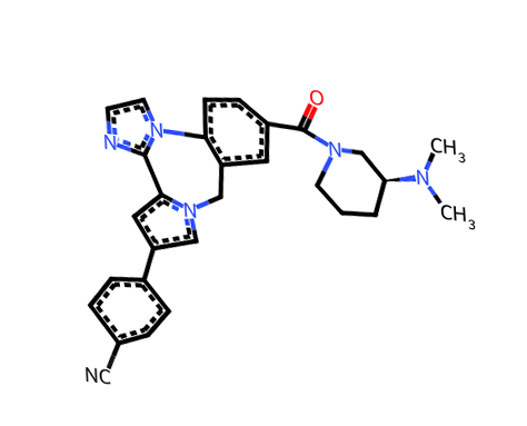 CN(C)[C@H]1CCCN(C(=O)c2ccc3c(c2)Cn2cc(-c4ccc(C#N)cc4)cc2-c2nccn2-3)C1